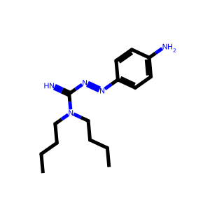 CCCCN(CCCC)C(=N)N=Nc1ccc(N)cc1